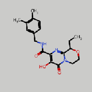 CCC1OCCn2c1nc(C(=O)NCc1ccc(C)c(C)c1)c(O)c2=O